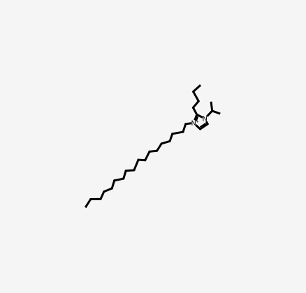 CCCCCCCCCCCCCCCCCC[n+]1ccn(C(C)C)c1CCCC